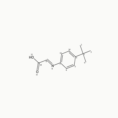 CC(C)(C)c1ccc(N=CC(=O)O)cc1